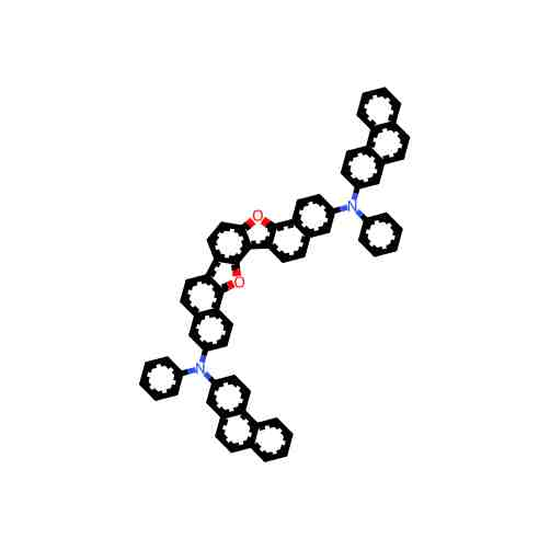 c1ccc(N(c2ccc3c(ccc4ccccc43)c2)c2ccc3c(ccc4c5ccc6oc7c8ccc(N(c9ccccc9)c9ccc%10c(ccc%11ccccc%11%10)c9)cc8ccc7c6c5oc34)c2)cc1